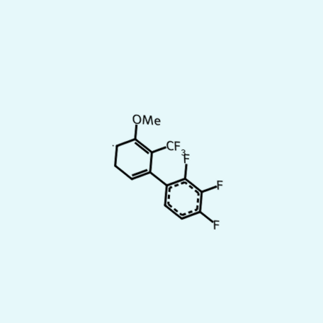 COC1=C(C(F)(F)F)C(c2ccc(F)c(F)c2F)=CC[CH]1